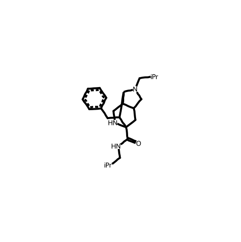 CC(C)CNC(=O)C12CC3CN(CC(C)C)C(C3CN1)C2Cc1ccccc1